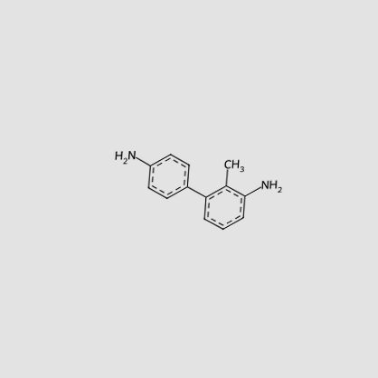 Cc1c(N)cccc1-c1ccc(N)cc1